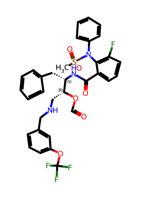 CS(=O)(=O)N(c1ccccc1)c1c(F)cccc1C(=O)N[C@@H](Cc1ccccc1)[C@@H](CNCc1cccc(OC(F)(F)F)c1)OC=O